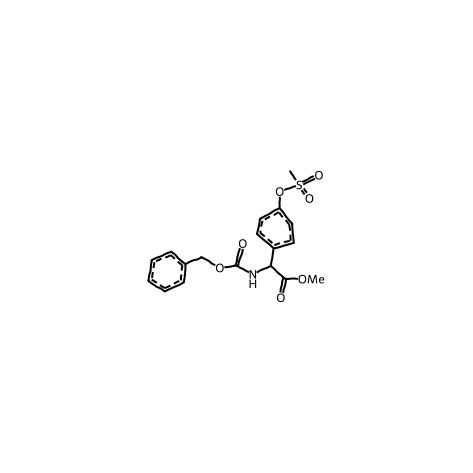 COC(=O)C(NC(=O)OCc1ccccc1)c1ccc(OS(C)(=O)=O)cc1